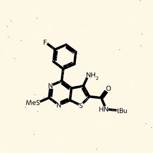 CSc1nc(-c2cccc(F)c2)c2c(N)c(C(=O)NC(C)(C)C)sc2n1